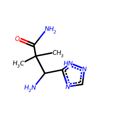 CC(C)(C(N)=O)C(N)c1ncn[nH]1